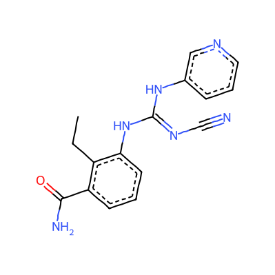 CCc1c(NC(=NC#N)Nc2cccnc2)cccc1C(N)=O